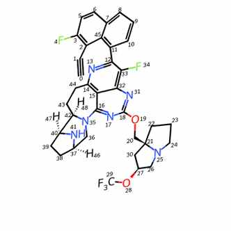 C#Cc1c(F)ccc2cccc(-c3nc4c5c(nc(OC[C@@]67CCCN6C[C@@H](OC(F)(F)F)C7)nc5c3F)N3C[C@H]5CC[C@H](N5)[C@H]3CC4)c12